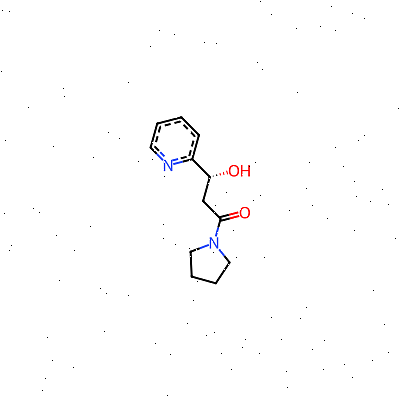 O=C(C[C@@H](O)c1ccccn1)N1CCCC1